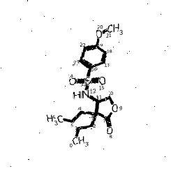 CCCC1(CCC)C(=O)OCC1NS(=O)(=O)c1ccc(OC)cc1